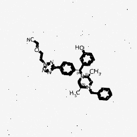 C[C@@H]1CN([C@H](c2ccc(-c3nnn(CCOCC#N)n3)cc2)c2cccc(O)c2)[C@@H](C)CN1Cc1ccccc1